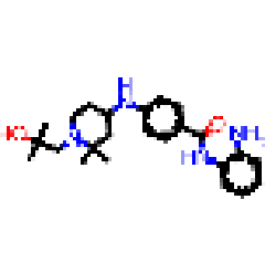 CC(C)(O)CN1CCC(Nc2ccc(C(=O)Nc3ccccc3N)cc2)CC1(C)C